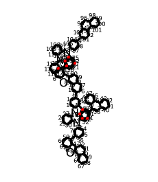 c1cc(-c2cccc3oc4c5cc(-c6ccc7c(c6)c6ccccc6n7-c6ccccc6N(c6ccc(-c7cc8ccccc8c8ccccc78)cc6)c6cccc(-c7cccc8oc9c%10ccccc%10ccc9c78)c6)ccc5ccc4c23)cc(N(c2ccc(-c3ccc4c(ccc5ccccc54)c3)cc2)c2ccccc2-n2c3ccccc3c3ccccc32)c1